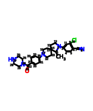 CC1N(c2ccc(C#N)c(Cl)c2)CCC12CCN(c1ccc(C(=O)N3CCNCC3)cc1)CC2